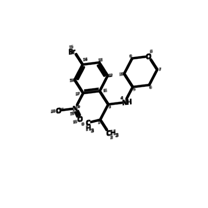 CC(C)C(NC1CCOCC1)c1ccc(Br)cc1[N+](=O)[O-]